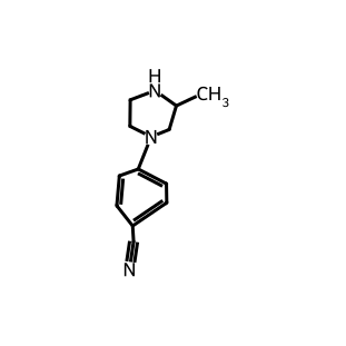 CC1CN(c2ccc(C#N)cc2)CCN1